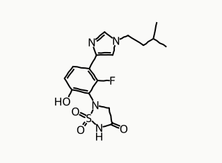 CC(C)CCn1cnc(-c2ccc(O)c(N3CC(=O)NS3(=O)=O)c2F)c1